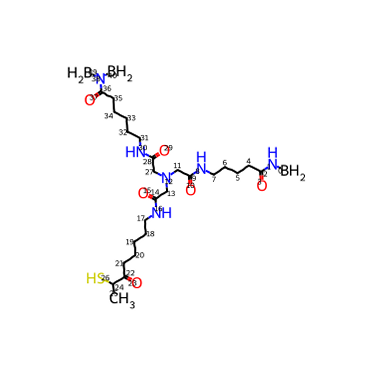 BNC(=O)CCCCNC(=O)CN(CC(=O)NCCCCCC(=O)C(C)S)CC(=O)NCCCCCC(=O)N(B)B